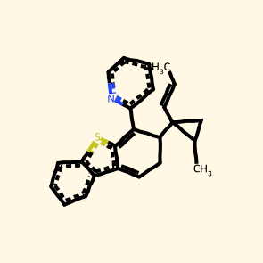 CC=CC1(C2CC=c3c(sc4ccccc34)=C2c2ccccn2)CC1C